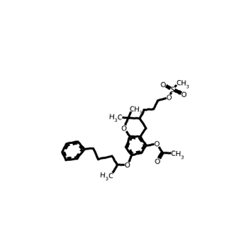 CC(=O)Oc1cc(OC(C)CCCc2ccccc2)cc2c1CC(CCCOS(C)(=O)=O)C(C)(C)O2